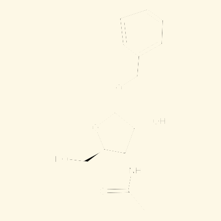 CC(=O)N[C@H]1[C@@H](O)[C@@H](OCc2ccccc2)O[C@@H]1CO